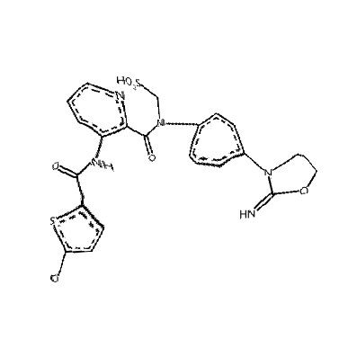 N=C1OCCN1c1ccc(N(CS(=O)(=O)O)C(=O)c2ncccc2NC(=O)c2ccc(Cl)s2)cc1